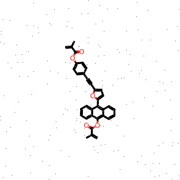 C=C(C)C(=O)Oc1ccc(C#Cc2ccc(-c3c4ccccc4c(OC(=O)C(=C)C)c4ccccc34)o2)cc1